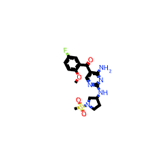 COc1ccc(F)cc1C(=O)c1cnc(NC2CCN(S(C)(=O)=O)C2)nc1N